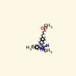 COC(=O)CCCCc1ccc2c(c1)CCN(c1c(C#N)c(C)nn1-c1ccc(C)cc1)C2